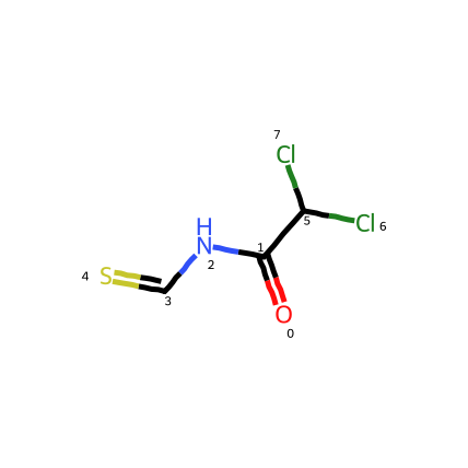 O=C(NC=S)C(Cl)Cl